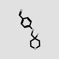 O=Cc1ccc(OCC2(F)CCOCC2)cc1